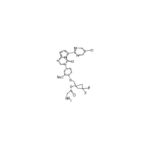 COc1cc(-n2cnc3ccc(-c4ncc(Cl)cn4)n3c2=O)ccc1OCC1(OC(=O)CN)CC(F)(F)C1